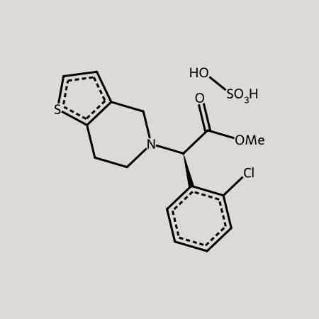 COC(=O)[C@@H](c1ccccc1Cl)N1CCc2sccc2C1.O=S(=O)(O)O